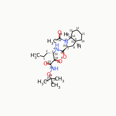 CCC[C@H](NC(=O)[C@@H]1C[C@@H]2CCCC[C@@H]2N1C(C)=O)C(=O)C(=O)NOC(C)(C)C